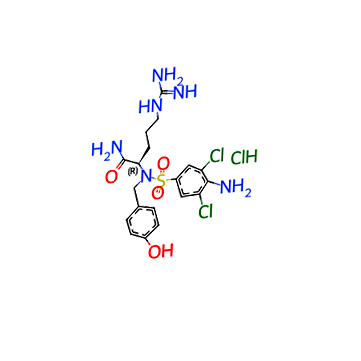 Cl.N=C(N)NCCC[C@H](C(N)=O)N(Cc1ccc(O)cc1)S(=O)(=O)c1cc(Cl)c(N)c(Cl)c1